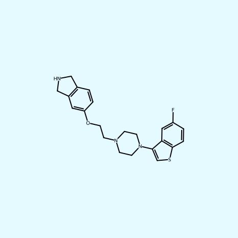 Fc1ccc2scc(N3CCN(CCOc4ccc5c(c4)CNC5)CC3)c2c1